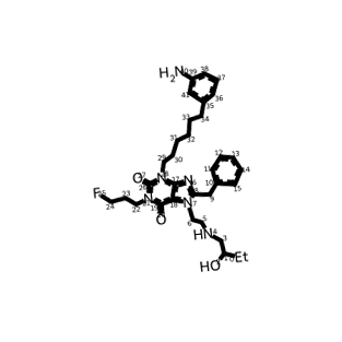 CCC(O)CNCCn1c(Cc2ccccc2)nc2c1c(=O)n(CCCF)c(=O)n2CCCCCCc1cccc(N)c1